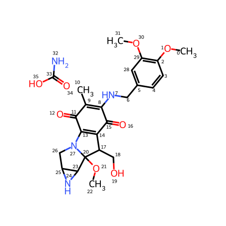 COc1ccc(CNC2=C(C)C(=O)C3=C(C2=O)C(CO)C2(OC)C4NC4CN32)cc1OC.NC(=O)O